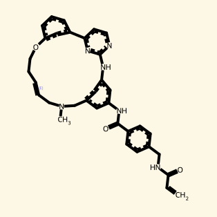 C=CC(=O)NCc1ccc(C(=O)Nc2cc3cc(c2)Nc2nccc(n2)-c2cccc(c2)OCC/C=C/CN(C)C3)cc1